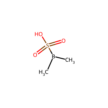 CB(C)S(=O)(=O)O